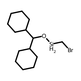 BrC[SiH2]OC(C1CCCCC1)C1CCCCC1